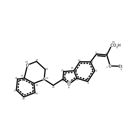 CCOC(=Cc1ccc2oc(CN3CCOc4ccccc43)cc2c1)C(=O)O